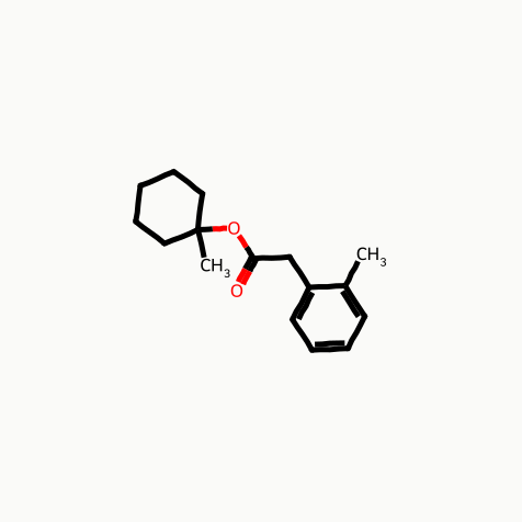 Cc1ccccc1CC(=O)OC1(C)CCCCC1